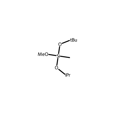 CO[Si](C)(OC(C)C)OC(C)(C)C